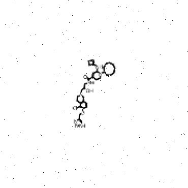 O=C(NC[C@H](O)CN1CCc2c(ccc(OCc3c[nH]nn3)c2Cl)C1)C1CCN(C2CCCCCCCC2)C(NC2CCC2)C1